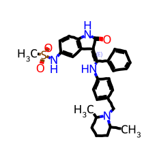 CC1CCCC(C)N1Cc1ccc(N/C(=C2/C(=O)Nc3ccc(NS(C)(=O)=O)cc32)c2ccccc2)cc1